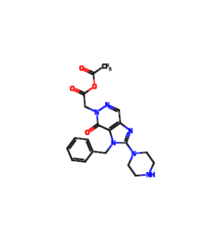 O=C(Cn1ncc2nc(N3CCNCC3)n(Cc3ccccc3)c2c1=O)OC(=O)C(F)(F)F